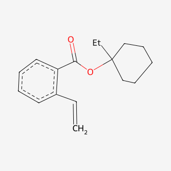 C=Cc1ccccc1C(=O)OC1(CC)CCCCC1